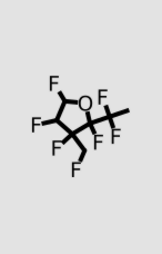 CC(F)(F)C1(F)OC(F)C(F)C1(F)CF